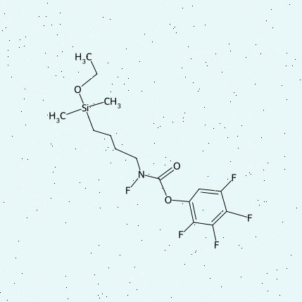 CCO[Si](C)(C)CCCCN(F)C(=O)Oc1cc(F)c(F)c(F)c1F